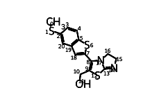 CSc1ccc2sc(C3=C(CO)SC4=NCCN43)cc2c1